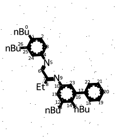 CCCCc1ccc(N=CC(CC)=Nc2cc(CCCC)c(CCCC)c(-c3ccccc3)c2)cc1CCCC